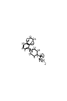 NC(=O)C1CCN(c2cccc3c2OCCO3)CC1